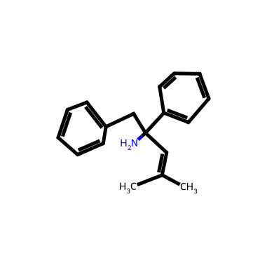 CC(C)=CC(N)(Cc1ccccc1)c1ccccc1